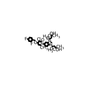 Cc1cc(OCc2ccc(F)cc2F)c(Cl)c(=O)n1-c1ccc2c(c1)N(C(=O)CC(C)(C)O)CN2C(=O)CC(C)(C)O